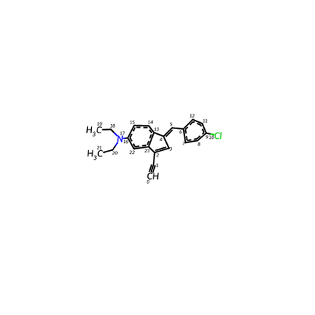 C#CC1=CC(=Cc2ccc(Cl)cc2)c2ccc(N(CC)CC)cc21